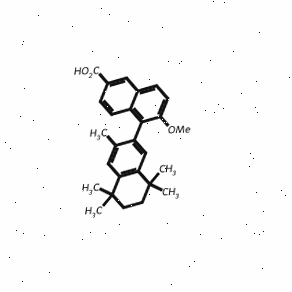 COc1ccc2cc(C(=O)O)ccc2c1-c1cc2c(cc1C)C(C)(C)CCC2(C)C